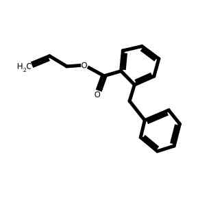 C=CCOC(=O)c1ccccc1Cc1ccccc1